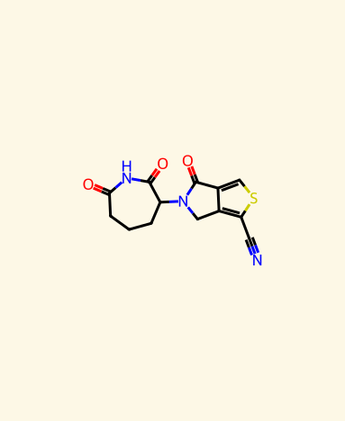 N#Cc1scc2c1CN(C1CCCC(=O)NC1=O)C2=O